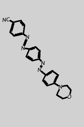 N#Cc1ccc(N=Nc2ccc(N=Nc3ccc(N4CCOCC4)cc3)cc2)cc1